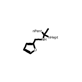 CCCCCCCC(C)(CCCCC)NCc1ccco1